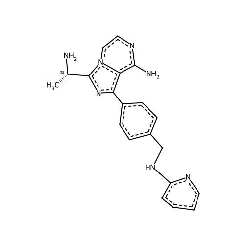 C[C@H](N)c1nc(-c2ccc(CNc3ccccn3)cc2)c2c(N)nccn12